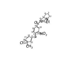 CCN1CCCC1CNC(=O)c1ccc(Sc2ccc(Cl)c(C)c2)c([N+](=O)[O-])c1